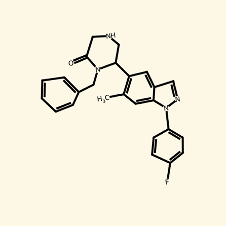 Cc1cc2c(cnn2-c2ccc(F)cc2)cc1C1CNCC(=O)N1Cc1ccccc1